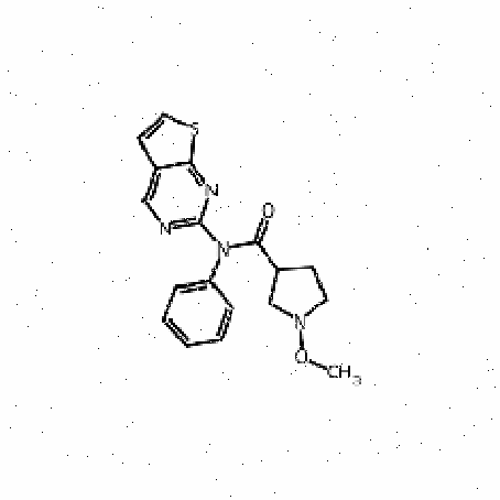 CON1CCC(C(=O)N(c2ccccc2)c2ncc3ccsc3n2)C1